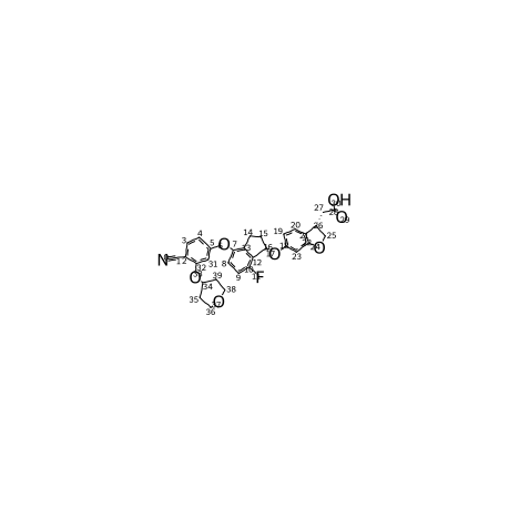 N#Cc1ccc(Oc2ccc(F)c3c2CC[C@H]3Oc2ccc3c(c2)OC[C@H]3CC(=O)O)cc1OC1CCOCC1